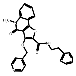 Cn1c(=O)c2c(OCc3ccncc3)c(C(=O)NCCc3ccccc3)sc2c2ccccc21